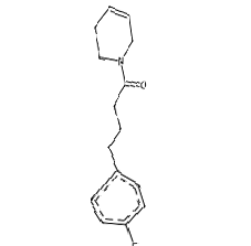 O=C(CCCc1ccc(F)cc1)N1CC=CCC1